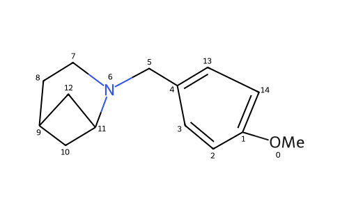 COc1ccc(CN2CCC3CC2C3)cc1